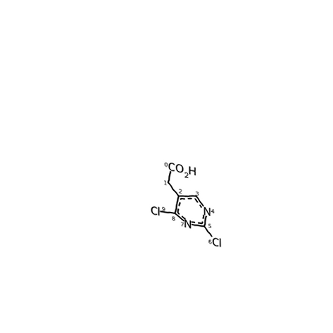 O=C(O)Cc1cnc(Cl)nc1Cl